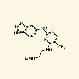 CC(=O)NCCNc1nc(Nc2ccc3[nH]nnc3c2)ncc1C(F)(F)F